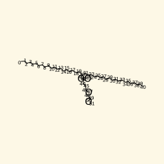 CCCCCCCCCCCCCCCCCCCCC(CCCCCCCCCCCCCCCCCCCC)OC(=O)CCCOCCOC